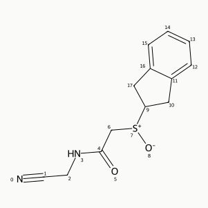 N#CCNC(=O)C[S+]([O-])C1Cc2ccccc2C1